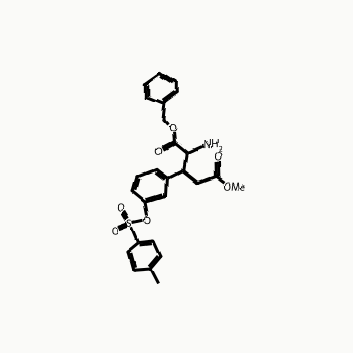 COC(=O)CC(c1cccc(OS(=O)(=O)c2ccc(C)cc2)c1)C(N)C(=O)OCc1ccccc1